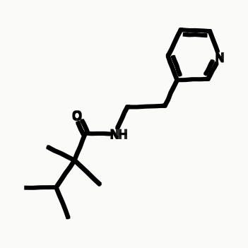 CC(C)C(C)(C)C(=O)NCCc1cccnc1